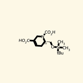 CC(C)(C)[Si](C)(C)OC[C@@H]1CC=C(C(=O)O)CN1C(=O)O